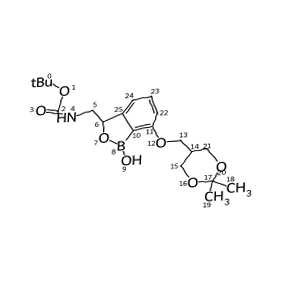 CC(C)(C)OC(=O)NCC1OB(O)c2c(OCC3COC(C)(C)OC3)cccc21